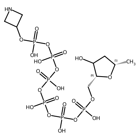 C[C@H]1CC(O)[C@@H](COP(=O)(O)OP(=O)(O)OP(=O)(O)OP(=O)(O)OP(=O)(O)OP(=O)(O)OC2CNC2)O1